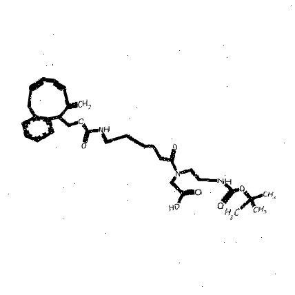 C=C1/C=C\C=C/Cc2ccccc2C1COC(=O)NCCCCCC(=O)N(CCNC(=O)OC(C)(C)C)CC(=O)O